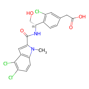 Cn1c(C(=O)N[C@H](CO)c2ccc(CC(=O)O)cc2Cl)cc2c(Cl)c(Cl)ccc21